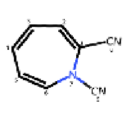 N#CC1=CC=CC=CN1C#N